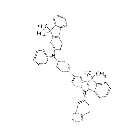 CC1(C)C2=C(CCC(N(c3ccccc3)c3ccc(-c4ccc5c(c4)c4c(n5-c5ccc6ccccc6c5)-c5ccccc5C4(C)C)cc3)=C2)c2ccccc21